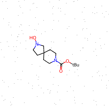 CC(C)(C)OC(=O)N1CCC2(CCN(O)C2)CC1